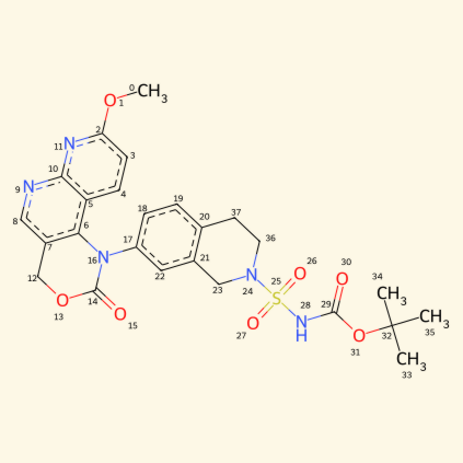 COc1ccc2c3c(cnc2n1)COC(=O)N3c1ccc2c(c1)CN(S(=O)(=O)NC(=O)OC(C)(C)C)CC2